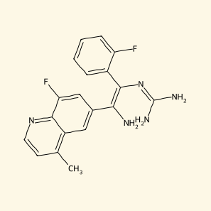 Cc1ccnc2c(F)cc(/C(N)=C(/N=C(N)N)c3ccccc3F)cc12